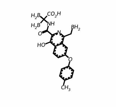 BCc1nc(C(=O)NC(B)(B)C(=O)O)c(O)c2ccc(Oc3ccc(C)cc3)cc12